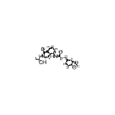 CC(O)Cn1ccc2c(NC(=O)CCc3ccc4c(c3)OCO4)cccc2c1=O